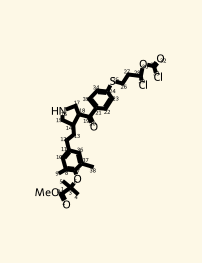 COC(=O)C(C)(C)Oc1c(C)cc(CCC2CNCC2C(=O)c2ccc(SCCC(Cl)OC(=O)Cl)cc2)cc1C